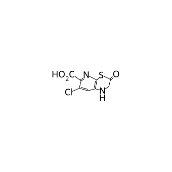 O=C1CNc2cc(Cl)c(C(=O)O)nc2S1